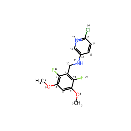 COc1cc(OC)c(F)c(CNc2ccc(Cl)nc2)c1F